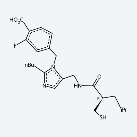 CCCCc1ncc(CNC(=O)[C@H](CS)CC(C)C)n1Cc1ccc(C(=O)O)c(F)c1